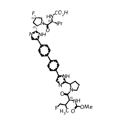 COC(=O)N[C@H](C(=O)N1CCCC1c1ncc(-c2ccc(-c3ccc(-c4cnc([C@@H]5C[C@H](F)CN5C(=O)[C@@H](NC(=O)O)C(C)C)[nH]4)cc3)cc2)[nH]1)C(C)CF